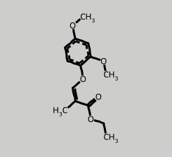 CCOC(=O)/C(C)=C\Oc1ccc(OC)cc1OC